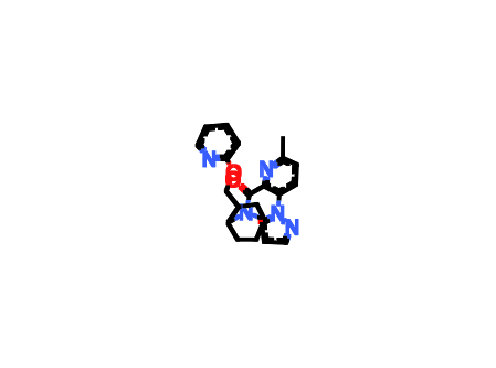 Cc1ccc(-n2cccn2)c(C(=O)N2C3CCC2C(COc2ccccn2)C3)n1